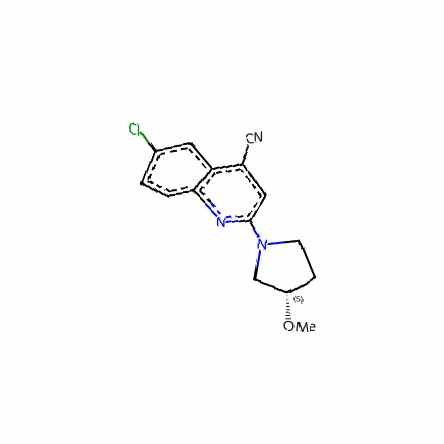 CO[C@H]1CCN(c2cc(C#N)c3cc(Cl)ccc3n2)C1